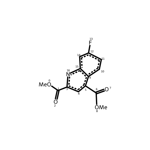 COC(=O)c1cc(C(=O)OC)c2ccc(F)cc2n1